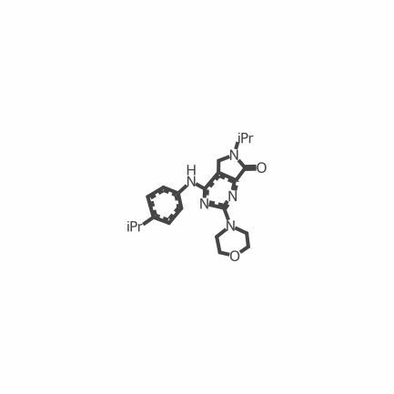 CC(C)c1ccc(Nc2nc(N3CCOCC3)nc3c2CN(C(C)C)C3=O)cc1